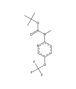 CN(C(=O)OC(C)(C)C)c1ccc(OC(F)(F)F)cn1